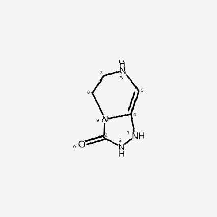 O=C1NNC2=CNCCN12